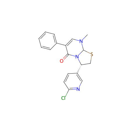 CN1C=C(c2ccccc2)C(=O)N2C1SC[C@@H]2c1ccc(Cl)nc1